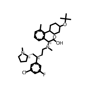 Cc1cccc([C@@H](C(=O)O)N(C)CC[C@H](C[C@@H]2CCCN2C)c2cc(F)cc(Cl)c2)c1C1CCC(OC(C)(C)C)CC1